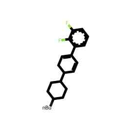 CCCCC1CCC(C2C=CC(c3cccc(F)c3F)=CC2)CC1